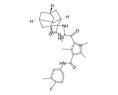 Cc1cc(NC(=O)c2c(C)c(C(=O)C(=O)NC3(C(N)=O)[C@H]4C[C@@H]5C[C@@H](C[C@H]3C5)C4)n(C)c2C)ccc1F